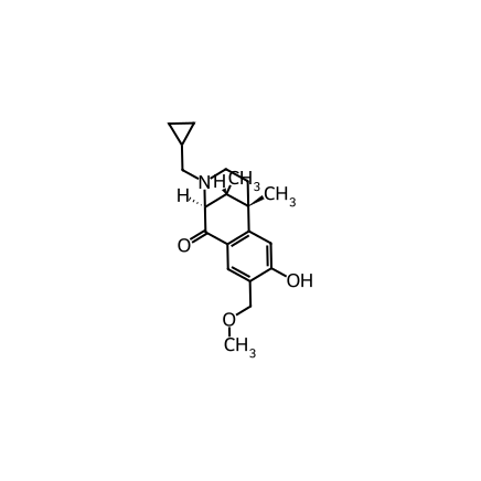 COCc1cc2c(cc1O)[C@@]1(C)CCN(CC3CC3)[C@H](C2=O)[C@@H]1C